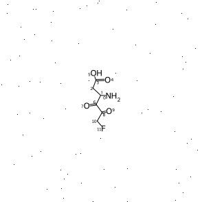 NC(CC(=O)O)C(=O)C(=O)CF